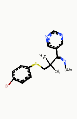 CON=C(c1cncnc1)C(C)(C)CSc1ccc(Br)cc1